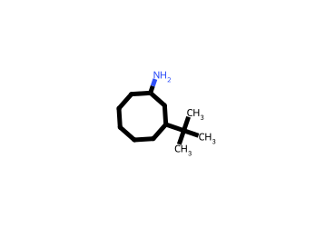 CC(C)(C)C1CCCCCC(N)C1